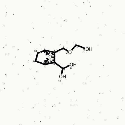 OCOCc1c2oc(c1C(O)O)CC2